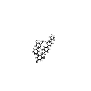 CCOC(=O)C1CCN(c2cccc(-c3cc(F)cc(F)c3OCc3ccc(C4CCN(C5CCOC5)CC4)cc3C)n2)CC1